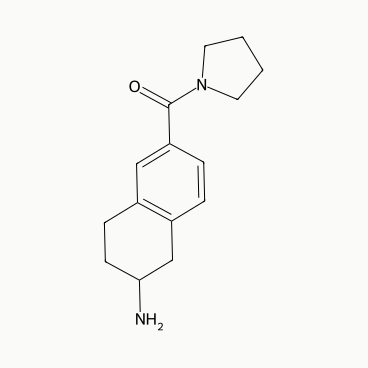 NC1CCc2cc(C(=O)N3CCCC3)ccc2C1